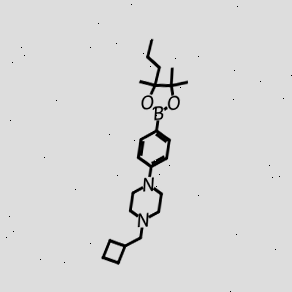 CCCC1(C)OB(c2ccc(N3CCN(CC4CCC4)CC3)cc2)OC1(C)C